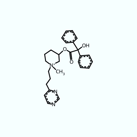 C[N+]1(CCCc2ccncn2)CCCC(OC(=O)C(O)(c2ccccc2)c2ccccc2)C1